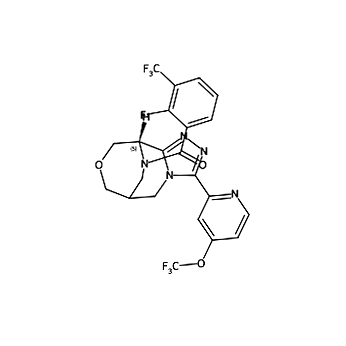 O=C(c1cccc(C(F)(F)F)c1F)N1CC2COC[C@@H]1c1nnc(-c3cc(OC(F)(F)F)ccn3)n1C2